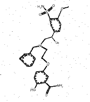 COc1ccc(C(O)CN(CCOc2ccc(O)c(C(N)=O)c2)Cc2ccccc2)cc1S(N)(=O)=O